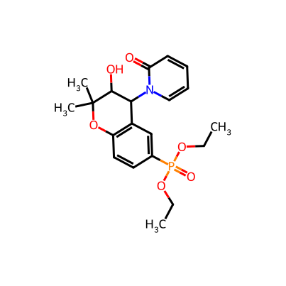 CCOP(=O)(OCC)c1ccc2c(c1)C(n1ccccc1=O)C(O)C(C)(C)O2